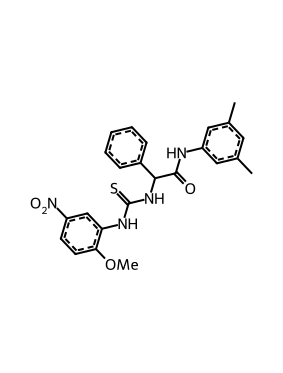 COc1ccc([N+](=O)[O-])cc1NC(=S)NC(C(=O)Nc1cc(C)cc(C)c1)c1ccccc1